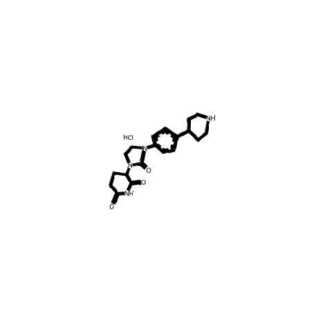 Cl.O=C1CCC(N2CCN(c3ccc(C4CCNCC4)cc3)C2=O)C(=O)N1